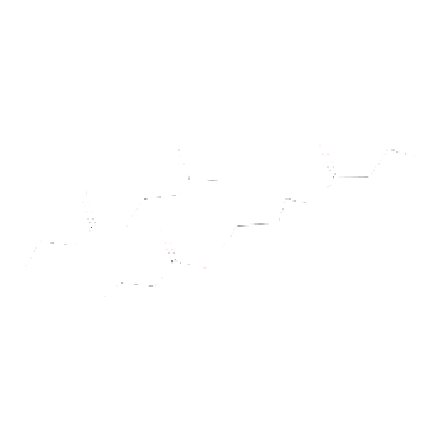 CCCC(=O)O.CCCC(=O)OCCC(C)C.CCCCOC(=O)CCC